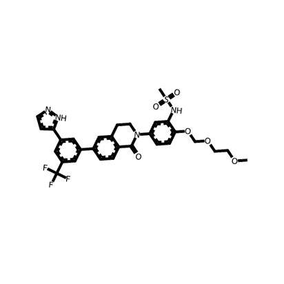 COCCOCOc1ccc(N2CCc3cc(-c4cc(-c5ccn[nH]5)cc(C(F)(F)F)c4)ccc3C2=O)cc1NS(C)(=O)=O